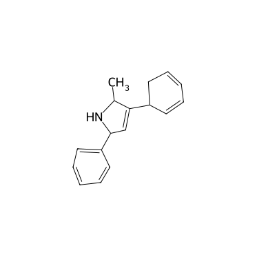 CC1NC(c2ccccc2)C=C1C1C=CC=CC1